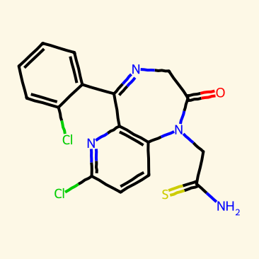 NC(=S)CN1C(=O)CN=C(c2ccccc2Cl)c2nc(Cl)ccc21